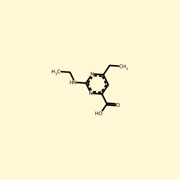 CCNc1nc(CC)cc(C(=O)O)n1